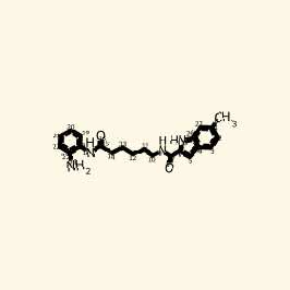 Cc1ccc2cc(C(=O)NCCCCCC(=O)Nc3ccccc3N)[nH]c2c1